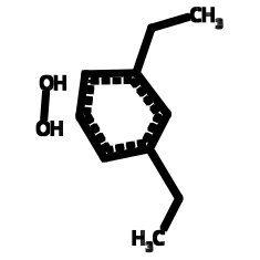 CCc1cccc(CC)c1.OO